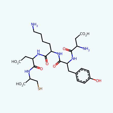 NCCCCC(NC(=O)C(Cc1ccc(O)cc1)NC(=O)C(N)CC(=O)O)C(=O)NC(CC(=O)O)C(=O)NC(CS)C(=O)O